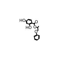 CC(COc1ccccc1)OC(=O)c1ccc(O)cc1O